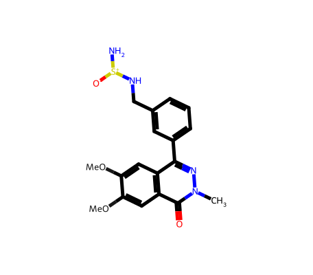 COc1cc2c(-c3cccc(CN[S+](N)[O-])c3)nn(C)c(=O)c2cc1OC